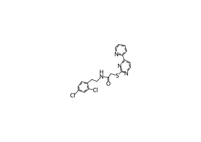 O=C(CSc1nccc(-c2ccccn2)n1)NCCc1ccc(Cl)cc1Cl